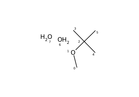 COC(C)(C)C.O.O